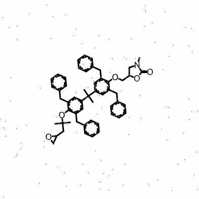 CN1CC(COc2c(Cc3ccccc3)cc(C(C)(C)c3cc(Cc4ccccc4)c(OC(C)(C)CC4CO4)c(Cc4ccccc4)c3)cc2Cc2ccccc2)OC1=O